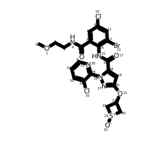 COCCNC(=O)c1cc(Cl)cc(Br)c1NC(=O)c1cc(OC2C[S+]([O-])C2)nn1-c1ncccc1Cl